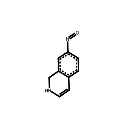 O=Nc1ccc2c(c1)CNC=C2